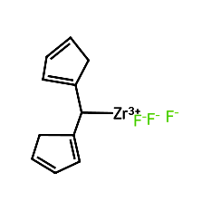 [F-].[F-].[F-].[Zr+3][CH](C1=CC=CC1)C1=CC=CC1